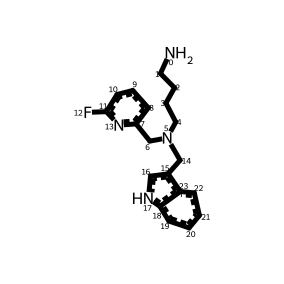 NCCCCN(Cc1cccc(F)n1)Cc1c[nH]c2ccccc12